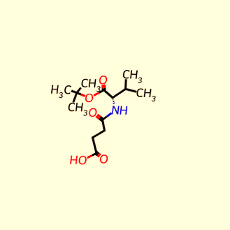 CC(C)[C@H](NC(=O)CCC(=O)O)C(=O)OC(C)(C)C